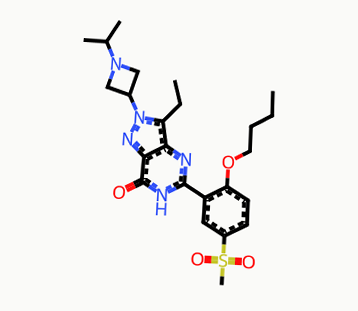 CCCCOc1ccc(S(C)(=O)=O)cc1-c1nc2c(CC)n(C3CN(C(C)C)C3)nc2c(=O)[nH]1